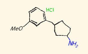 COc1cccc(C2CCC(N)C2)c1.Cl